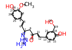 COc1cc(/C=C/C(CC(=O)/C=C/c2ccc(O)c(CO)c2)=N/NN)ccc1O